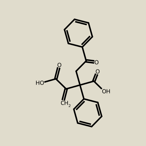 C=C(C(=O)O)C(CC(=O)c1ccccc1)(C(=O)O)c1ccccc1